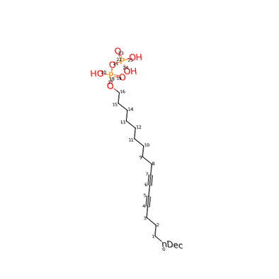 CCCCCCCCCCCCCC#CC#CCCCCCCCCCOP(=O)(O)OP(=O)(O)O